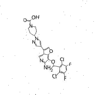 CC(Oc1c(N)ncc2c(-c3cnn(C4CCN(C(=O)O)CC4)c3)coc12)c1c(Cl)c(F)cc(F)c1Cl